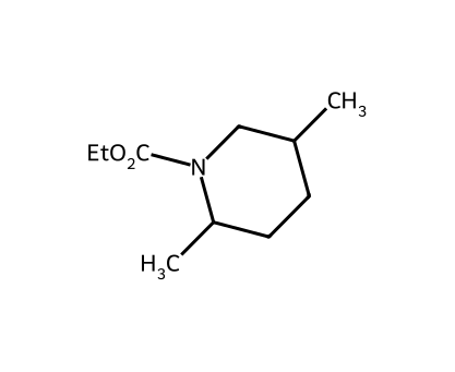 CCOC(=O)N1CC(C)CCC1C